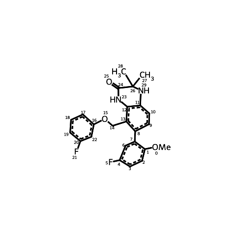 COc1ccc(F)cc1-c1ccc2c(c1COc1cccc(F)c1)NC(=O)C(C)(C)N2